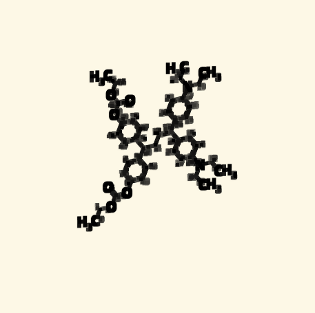 CCOC(=O)Oc1ccc(C(CC=C(c2ccc(N(CC)CC)cc2)c2ccc(N(CC)CC)cc2)c2ccc(OC(=O)OCC)cc2)cc1